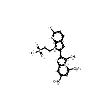 CCc1ccc2cc(-c3nc4cc(C=O)cc(OC)n4c3C)n(CCS(C)(=O)=O)c2n1